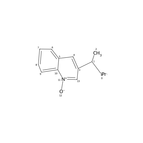 C[C](C)C(C)c1cc2ccccc2[n+]([O-])c1